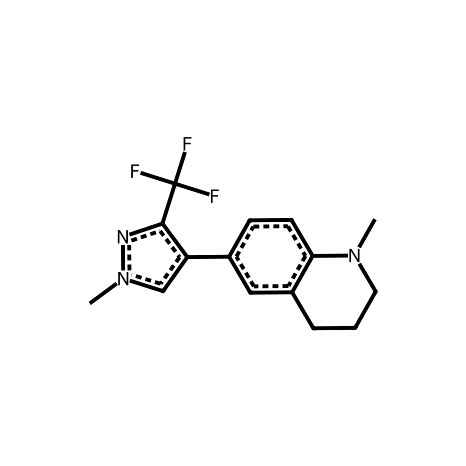 CN1CCCc2cc(-c3cn(C)nc3C(F)(F)F)ccc21